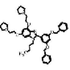 CCCCn1c(-c2cc(OCc3ccccc3)cc(OCc3ccccc3)c2)nc2c(OCCN3CCCC3)cc(OCCN3CCCC3)cc21